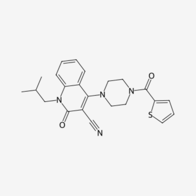 CC(C)Cn1c(=O)c(C#N)c(N2CCN(C(=O)c3cccs3)CC2)c2ccccc21